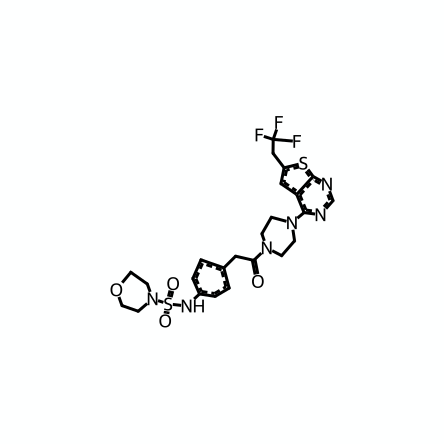 O=C(Cc1ccc(NS(=O)(=O)N2CCOCC2)cc1)N1CCN(c2ncnc3sc(CC(F)(F)F)cc23)CC1